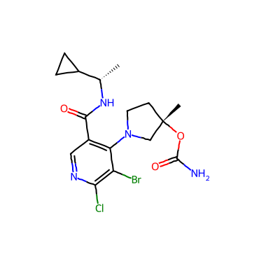 C[C@H](NC(=O)c1cnc(Cl)c(Br)c1N1CC[C@](C)(OC(N)=O)C1)C1CC1